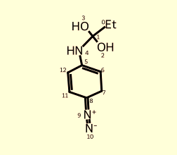 CCC(O)(O)NC1=CCC(=[N+]=[N-])C=C1